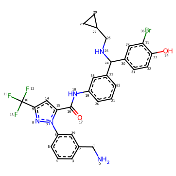 NCc1cccc(-n2nc(C(F)(F)F)cc2C(=O)Nc2cccc(C(NCC3CC3)c3ccc(O)c(Br)c3)c2)c1